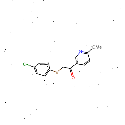 COc1ccc(C(=O)CSc2ccc(Cl)cc2)cn1